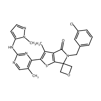 Cc1cnc(Nc2ccnn2C)nc1-c1sc2c(c1C)C(=O)N(Cc1cccc(Cl)c1)C21COC1